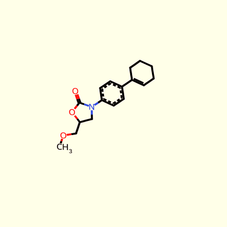 COCC1CN(c2ccc(C3=CCCCC3)cc2)C(=O)O1